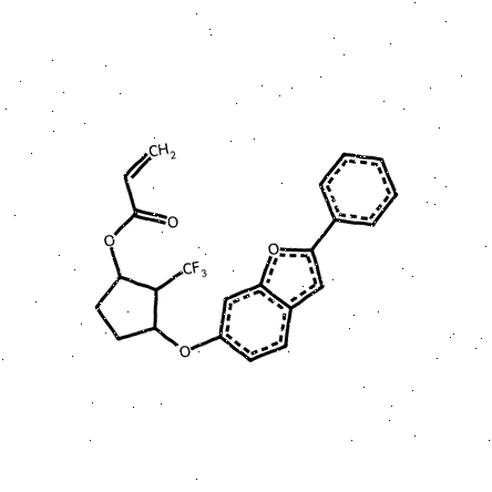 C=CC(=O)OC1CCC(Oc2ccc3cc(-c4ccccc4)oc3c2)C1C(F)(F)F